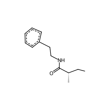 CC[C@H](C)C(=O)NCCc1ccccc1